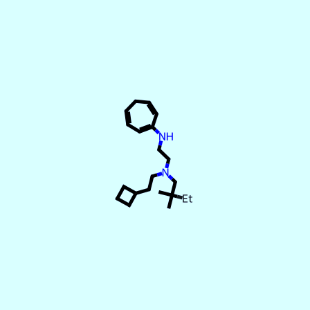 CCC(C)(C)CN(CCNC1=CC=CCC=C1)CCC1CCC1